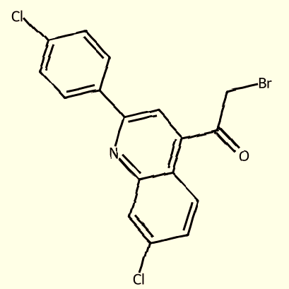 O=C(CBr)c1cc(-c2ccc(Cl)cc2)nc2cc(Cl)ccc12